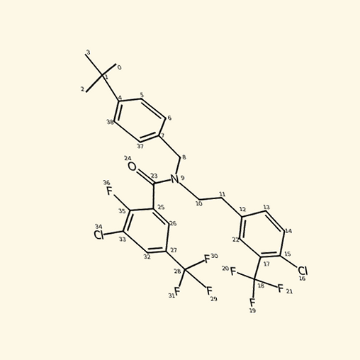 CC(C)(C)c1ccc(CN(CCc2ccc(Cl)c(C(F)(F)F)c2)C(=O)c2cc(C(F)(F)F)cc(Cl)c2F)cc1